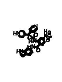 CS(=O)(=O)Nc1ccc(C(=O)Nc2ccc3cc[nH]c3c2)c(NC(=O)OC(c2ccncc2)C2CCNCC2)c1